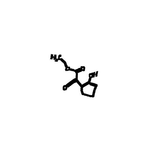 CCOC(=O)C(=O)C1CCCC1O